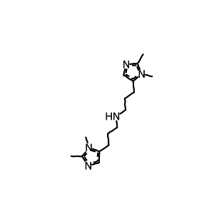 Cc1ncc(CCCNCCCc2cnc(C)n2C)n1C